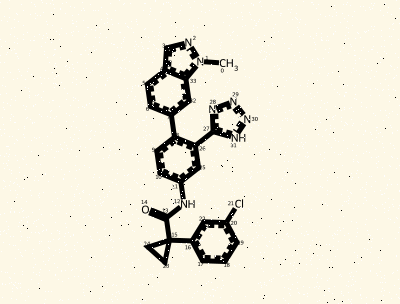 Cn1ncc2ccc(-c3ccc(NC(=O)C4(c5cccc(Cl)c5)CC4)cc3-c3nnn[nH]3)cc21